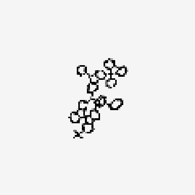 CC(C)(C)c1ccc2c(c1)C1(c3ccccc3-c3ccc(N(c4ccc(-c5ccccc5)cc4)c4ccc5c(c4)c4cc(C6(c7ccccc7)c7ccccc7-c7ccccc76)ccc4n5-c4ccccc4)cc31)c1cc(C(C)(C)C)ccc1-2